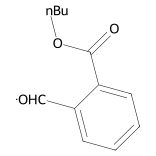 CCCCOC(=O)c1ccccc1[C]=O